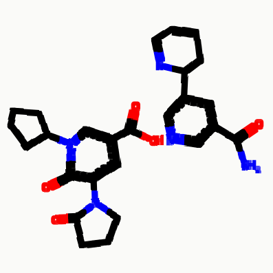 NC(=O)c1cncc(C2CC=CC=N2)c1.O=C(O)c1cc(N2CCCC2=O)c(=O)n(C2CCCC2)c1